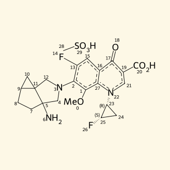 COc1c(N2CC3(N)CCC4CC43C2)c(F)cc2c(=O)c(C(=O)O)cn([C@@H]3C[C@@H]3F)c12.CS(=O)(=O)O